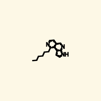 CCCCCCc1nccc2cnc3[nH]ccc3c12